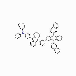 C1=CC2=C(C3C=CC(N(C4=CCCC=C4)C4=CCCC=C4)=CC3)C3=CCC=CCC3C(c3cccc(-c4ccc5c(-c6ccc7ccccc7c6)c6ccccc6c(-c6ccc7ccccc7c6)c5c4)c3)C2C=C1